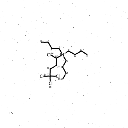 CCCC[N+](CCCC)(CCCC)C(Cl)CCC(Cl)(Cl)Cl